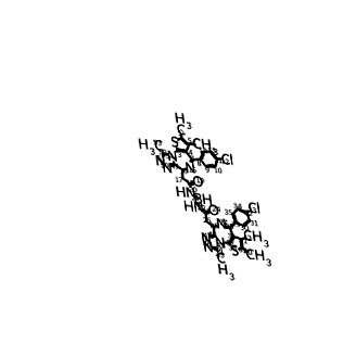 Cc1sc2c(c1C)C(c1ccc(Cl)cc1)=NC(CC(=O)NBNC(=O)CC1N=C(c3ccc(Cl)cc3)c3c(sc(C)c3C)-n3c(C)nnc31)c1nnc(C)n1-2